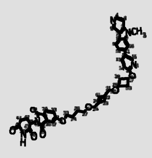 Cn1c2ccncc2c2ccc(-c3ccc(O[C@H]4C[C@H](OCC56CC(COCCCCOc7ccc8c(c7)C(=O)N(C7CCC(=O)NC7=O)C8=O)(C5)C6)C4)nc3)cc21